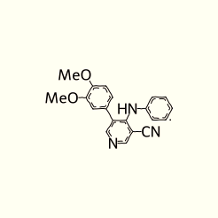 COc1ccc(-c2cncc(C#N)c2Nc2c[c]ccc2)cc1OC